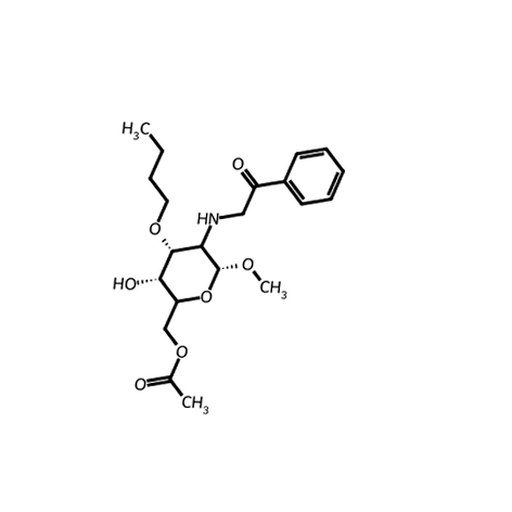 CCCCO[C@@H]1C(NCC(=O)c2ccccc2)[C@H](OC)OC(COC(C)=O)[C@@H]1O